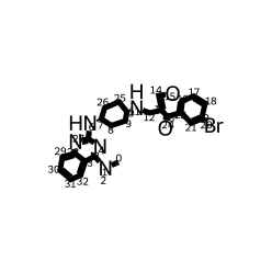 CN(C)c1nc(N[C@H]2CC[C@@H](NCc3coc4ccc(Br)cc4c3=O)CC2)nc2ccccc12